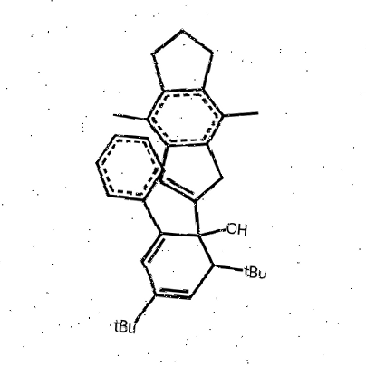 Cc1c2c(c(C)c3c1CCC3)CC(C1(O)C(c3ccccc3)=CC(C(C)(C)C)=CC1C(C)(C)C)=C2